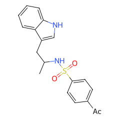 CC(=O)c1ccc(S(=O)(=O)NC(C)Cc2c[nH]c3ccccc23)cc1